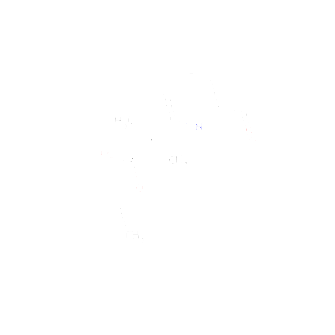 CCOC(=O)C(C)(C)c1cccc(C=O)n1